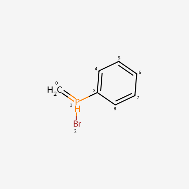 C=[PH](Br)c1ccccc1